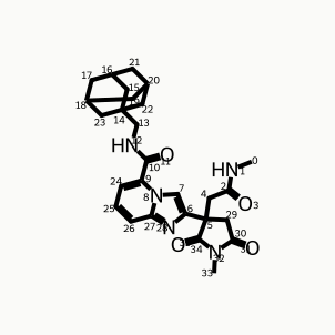 CNC(=O)CC1(c2cn3c(C(=O)NCC45CC6CC(CC(C6)C4)C5)cccc3n2)CC(=O)N(C)C1=O